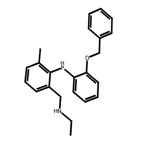 CCNCc1cccc(C)c1Pc1ccccc1OCc1ccccc1